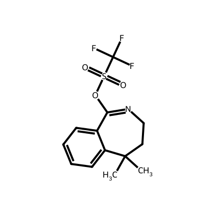 CC1(C)CCN=C(OS(=O)(=O)C(F)(F)F)c2ccccc21